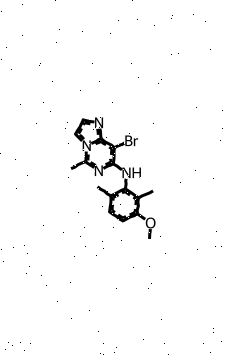 COc1ccc(C)c(Nc2nc(C)n3ccnc3c2Br)c1C